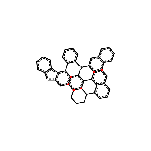 c1ccc(N(c2ccc3ccccc3c2)c2ccccc2-c2cccc3sc4ccccc4c23)c(-c2cccc3cccc(C4CCCCC4)c23)c1